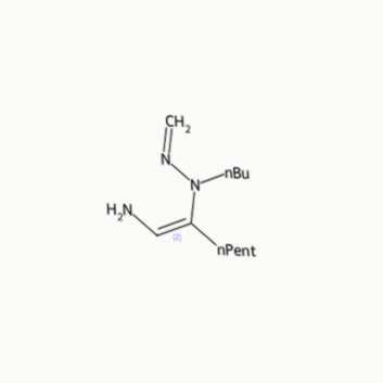 C=NN(CCCC)/C(=C\N)CCCCC